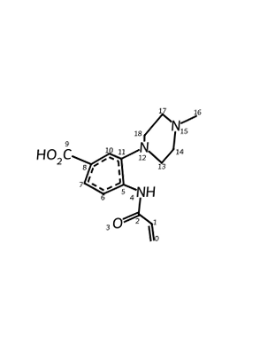 C=CC(=O)Nc1ccc(C(=O)O)cc1N1CCN(C)CC1